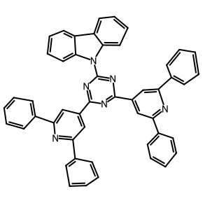 c1ccc(-c2cc(-c3nc(-c4cc(-c5ccccc5)nc(-c5ccccc5)c4)nc(-n4c5ccccc5c5ccccc54)n3)cc(-c3ccccc3)n2)cc1